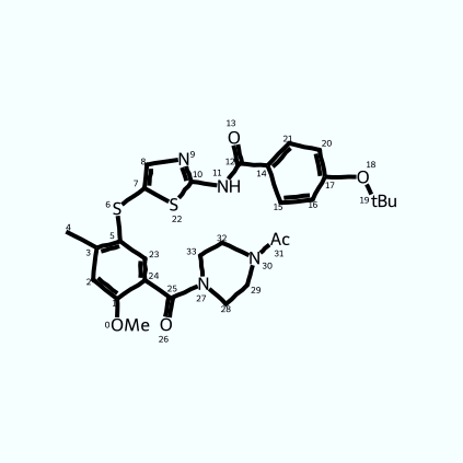 COc1cc(C)c(Sc2cnc(NC(=O)c3ccc(OC(C)(C)C)cc3)s2)cc1C(=O)N1CCN(C(C)=O)CC1